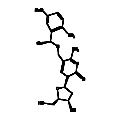 COc1ccc([N+](=O)[O-])c([C@@H](OCc2cn([C@H]3C[C@@H](O)[C@@H](CO)O3)c(=O)nc2N)C(C)(C)C)c1